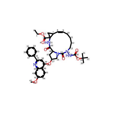 CCOC(=O)C12CC1C=CCCCCN(NC(=O)OC(C)(C)C)C(=O)N1CC(Oc3cc(-c4ccccc4)nc4cc(OC)ccc34)CC1C(=O)N2